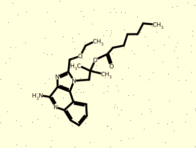 CCCCCCC(=O)OC(C)(C)Cn1c(COCC)nc2c(N)nc3ccccc3c21